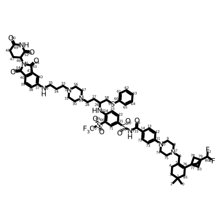 CC1(C)CCC(CN2CCN(c3ccc(C(=O)NS(=O)(=O)c4ccc(NC(CCN5CCN(CCCNc6ccc7c(c6)C(=O)N(C6CCC(=O)NC6=O)C7=O)CC5)CSc5ccccc5)c(S(=O)(=O)C(F)(F)F)c4)cc3)CC2)=C(C23CC(C(F)F)(C2)C3)C1